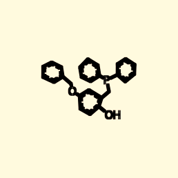 Oc1ccc(OCc2ccccc2)cc1CP(c1ccccc1)c1ccccc1